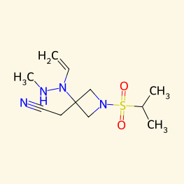 C=CN(NC)C1(CC#N)CN(S(=O)(=O)C(C)C)C1